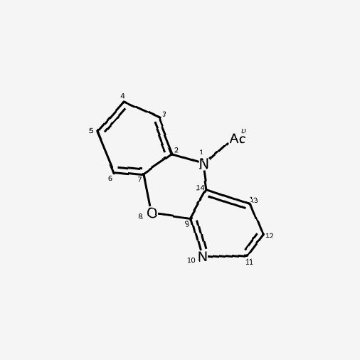 CC(=O)N1c2ccccc2Oc2ncccc21